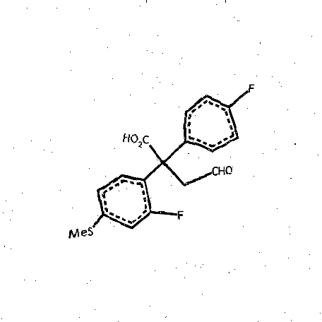 CSc1ccc(C(CC=O)(C(=O)O)c2ccc(F)cc2)c(F)c1